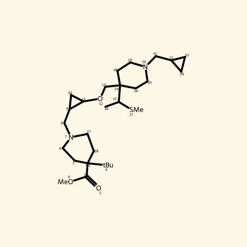 COC(=O)C1(C(C)(C)C)CCN(CC2CC2OCC2(C(C)SC)CCN(CC3CC3)CC2)CC1